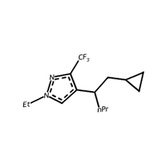 CCCC(CC1CC1)c1cn(CC)nc1C(F)(F)F